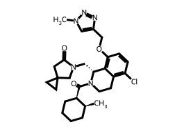 C[C@H]1CCCC[C@H]1C(=O)N1CCc2c(Cl)ccc(OCc3cn(C)nn3)c2[C@H]1CN1CC2(CC2)CC1=O